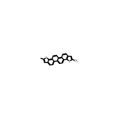 Cc1cc2ccc3c4ccc5c(ccc6cc(C(F)(F)F)sc65)c4ccc3c2s1